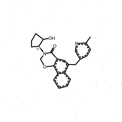 Cc1ccc(Cc2cc3c(c4ccccc24)OCN([C@H]2CCCC2O)C3=O)cn1